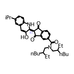 CCCCC(CC)CN(CC(CC)CCCC)C(=O)c1ccc2c(c1)C(=O)/C(=C1/Nc3ccc(C(C)C)cc3C=C1O)C2=O